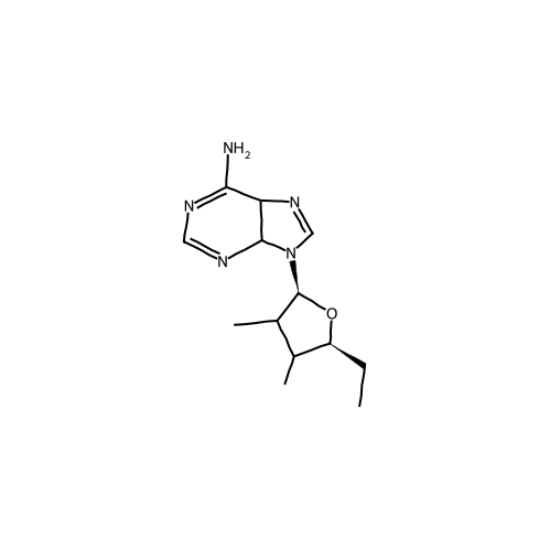 CC[C@@H]1O[C@H](N2C=NC3C(N)=NC=NC32)C(C)C1C